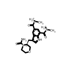 CN(C)C(=O)c1cc(C(=O)N(C)C)c2[nH]cc(C[C@H]3COCCN3C(N)=S)c2c1